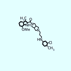 COc1cccc2c(C)c(C(=O)N3CC4CN(CCCNc5ccc(C)c(Cl)c5)CC4C3)[nH]c12